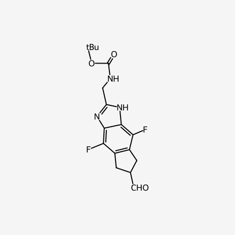 CC(C)(C)OC(=O)NCc1nc2c(F)c3c(c(F)c2[nH]1)CC(C=O)C3